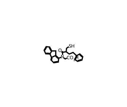 O=C(O)CN(C(=O)C(CS)CCc1ccccc1)c1cccc2c1Cc1ccccc1-2